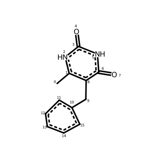 Cc1[nH]c(=O)[nH]c(=O)c1Cc1ccccc1